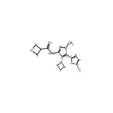 Cn1nc(NC(=O)C2COC2)c(C2CCC2)c1-c1ccc(Cl)s1